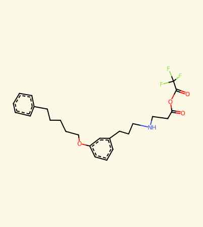 O=C(CCNCCCc1cccc(OCCCCCc2ccccc2)c1)OC(=O)C(F)(F)F